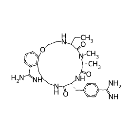 CCC1NCCOc2cccc(C(=N)N)c2CCCNC(=O)[C@@H](Cc2ccc(C(=N)N)cc2)NC(=O)[C@@H](C)N(C)C1=O